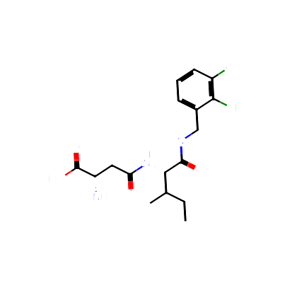 CCC(C)[C@H](NC(=O)C[C@H](N)C(=O)O)C(=O)NCc1cccc(Cl)c1Cl